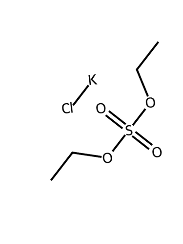 CCOS(=O)(=O)OCC.[Cl][K]